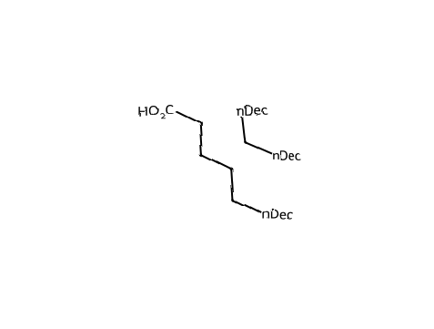 CCCCCCCCCCCCCCC(=O)O.CCCCCCCCCCCCCCCCCCCCC